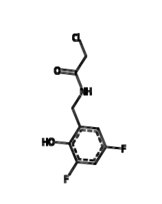 O=C(CCl)NCc1cc(F)cc(F)c1O